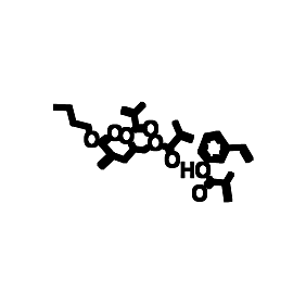 C=C(C)C(=O)O.C=C(C)C(=O)OCC(CC(=C)C(=O)OCCCC)OC(=O)C(=C)C.C=Cc1ccccc1